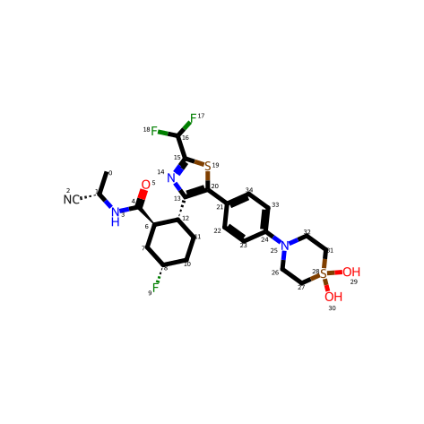 C[C@@H](C#N)NC(=O)[C@@H]1C[C@@H](F)CC[C@H]1c1nc(C(F)F)sc1-c1ccc(N2CCS(O)(O)CC2)cc1